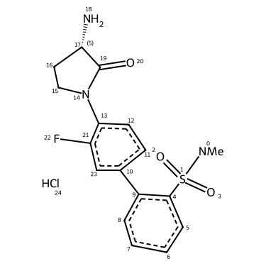 CNS(=O)(=O)c1ccccc1-c1ccc(N2CC[C@H](N)C2=O)c(F)c1.Cl